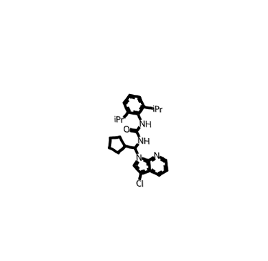 CC(C)c1cccc(C(C)C)c1NC(=O)NC(C1CCCC1)n1cc(Cl)c2cccnc21